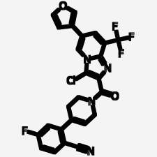 N#Cc1ccc(F)cc1C1=CCN(C(=O)c2nc3c(C(F)(F)F)cc(-c4ccoc4)cn3c2Cl)CC1